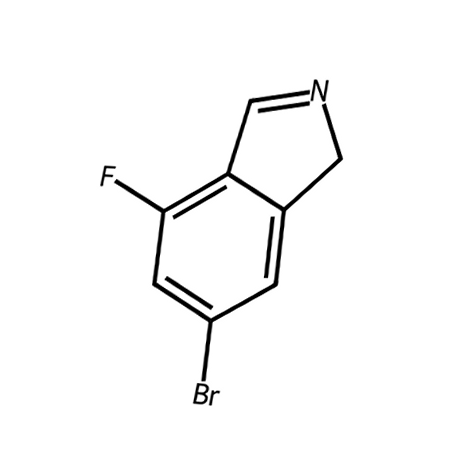 Fc1cc(Br)cc2c1C=NC2